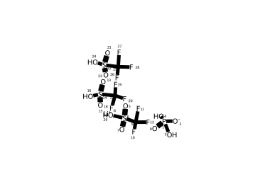 O=P([O-])(O)O.O=S(=O)(O)C(F)(F)F.O=S(=O)(O)C(F)(F)F.O=S(=O)(O)C(F)(F)F.[Li+]